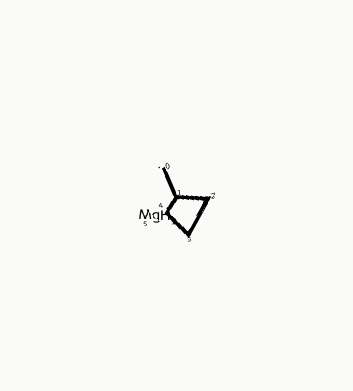 [CH2]C1CCC1.[MgH2]